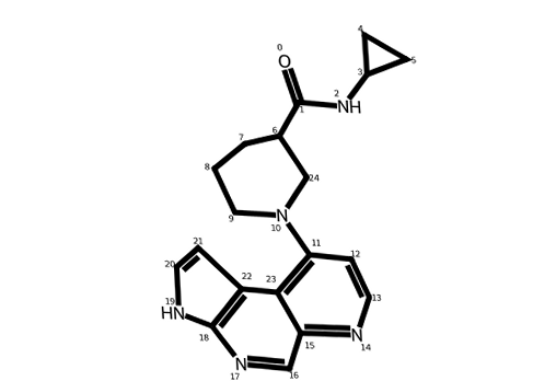 O=C(NC1CC1)C1CCCN(c2ccnc3cnc4[nH]ccc4c23)C1